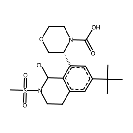 CC(C)(C)c1cc2c(c([C@@H]3COCCN3C(=O)O)c1)C(Cl)N(S(C)(=O)=O)CC2